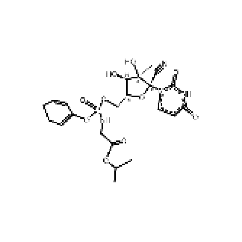 CC(C)OC(=O)CNP(=O)(OC[C@H]1O[C@@](C#N)(n2ccc(=O)[nH]c2=O)[C@](C)(O)[C@@H]1O)OC1=CCCC=C1